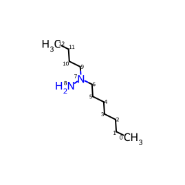 CCCCCCCN(N)CCCC